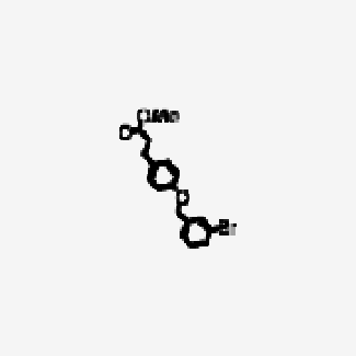 COC(=O)CCc1ccc(OCc2cccc(Br)c2)cc1